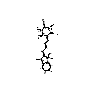 CN1C(=O)C(=C/C=C/C=C2/N(C)c3ccccc3C2(C)C)C(=O)N(C)C1=S